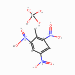 Cc1c([N+](=O)[O-])cc([N+](=O)[O-])cc1[N+](=O)[O-].[O-][Ti]([O-])([O-])[O-]